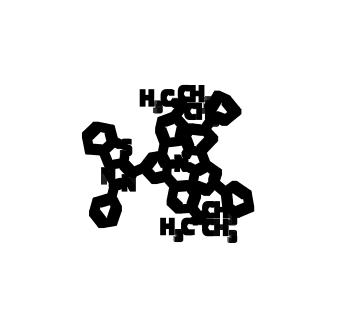 CC(C)(C)c1ccc(-c2cc(-c3nc(-c4ccccc4)nc4c3sc3ccccc34)cc(-c3ccc(C(C)(C)C)cc3)c2-n2c3ccc(-c4ccccc4)cc3c3cc(-c4ccccc4)ccc32)cc1